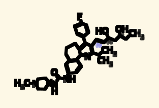 CC[C@H](O)C[C@H](O)/C=C/c1c(C(C)C)nc2c(c1-c1ccc(F)cc1)CCCc1cc(NC(=O)NN3CCN(C)CC3)ccc1-2